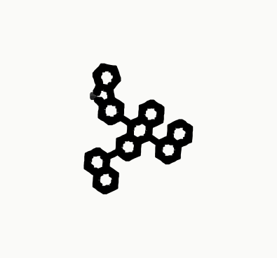 c1ccc2c(-c3ccc4c(-c5cccc6ccccc56)c5ccccc5c(-c5ccc6oc7ccccc7c6c5)c4c3)cccc2c1